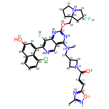 Cc1noc(/C=C/C(=O)N2CC(CN(C)c3nc(OC[C@@]45CCCN4C[C@H](F)C5)nc4c(F)c(-c5cc(O)cc6cccc(Cl)c56)ncc34)C2)n1